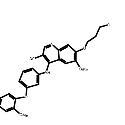 COc1cc2c(Nc3cccc(Oc4ccccc4OC)c3)c(C#N)cnc2cc1OCCCCl